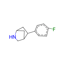 Fc1ccc(C2CC3CC2CN3)cc1